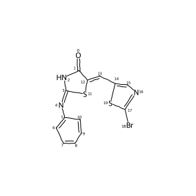 O=C1NC(=Nc2ccccc2)SC1=Cc1cnc(Br)s1